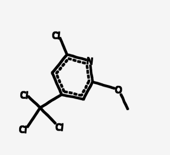 COc1cc(C(Cl)(Cl)Cl)cc(Cl)n1